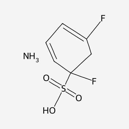 N.O=S(=O)(O)C1(F)C=CC=C(F)C1